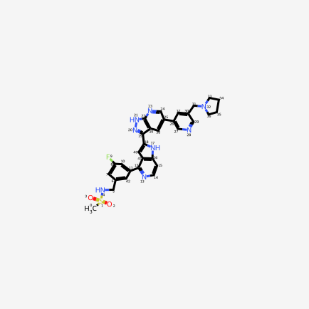 CS(=O)(=O)NCc1cc(F)cc(-c2nccc3[nH]c(-c4n[nH]c5ncc(-c6cncc(CN7CCCC7)c6)cc45)cc23)c1